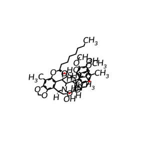 CCCCCCCC(=O)Oc1c(C)c2c(c3c1[C@H]1SC[C@]4(NCCc5cc(O)c(OC)cc54)C(=O)OC[C@@H]3N3[C@@H]1[C@H]1c4c(cc(C)c(OC)c4O)C[C@@H]([C@@H]3O)N1C)OCO2